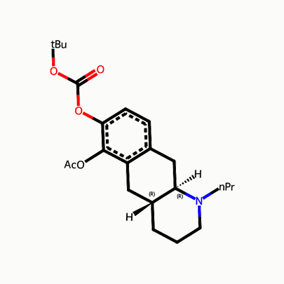 CCCN1CCC[C@@H]2Cc3c(ccc(OC(=O)OC(C)(C)C)c3OC(C)=O)C[C@H]21